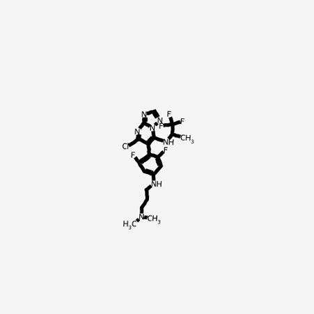 CC(Nc1c(-c2c(F)cc(NCCCN(C)C)cc2F)c(Cl)nc2ncnn12)C(F)(F)F